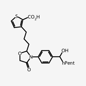 CCCCCC(O)c1ccc(N2C(=O)COC2CCCc2ccsc2C(=O)O)cc1